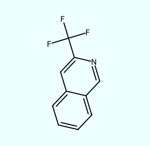 FC(F)(F)c1cc2ccccc2[c]n1